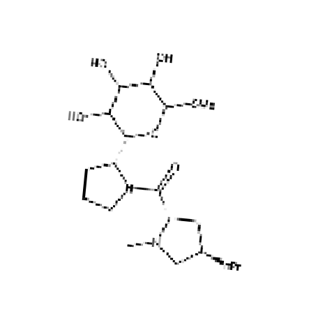 CCC[C@@H]1C[C@@H](C(=O)N2CCC[C@@H]2C2OC(SC)C(O)C(O)C2O)N(C)C1